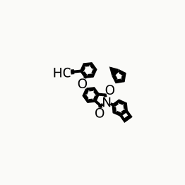 C#Cc1ccccc1Oc1ccc2c(c1)C(=O)N(c1ccc3c(c1)C=C3)C2=O.c1cc2cc-2c1